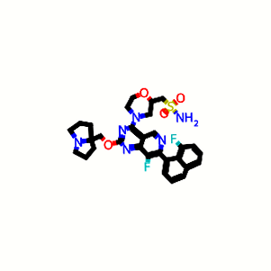 NS(=O)(=O)CC1CN(c2nc(OCC34CCCN3CCC4)nc3c(F)c(-c4cccc5cccc(F)c45)ncc23)CCO1